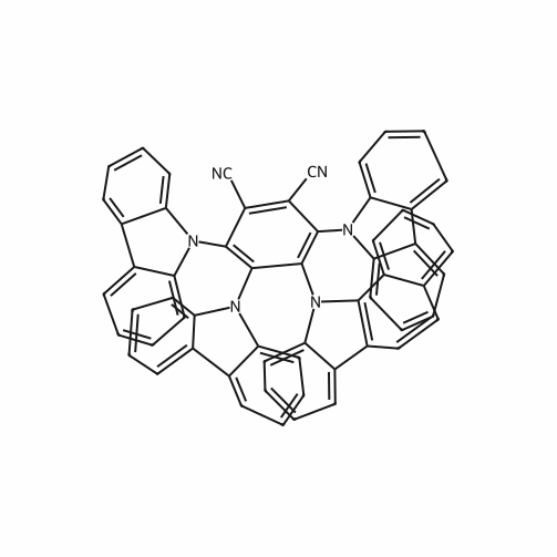 N#Cc1c(C#N)c(-n2c3ccccc3c3ccccc32)c(-n2c3ccccc3c3ccc4ccccc4c32)c(-n2c3ccccc3c3ccccc32)c1-n1c2ccccc2c2ccccc21